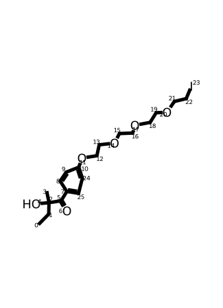 CCC(C)(O)C(=O)c1ccc(OCCOCCOCCOCCI)cc1